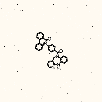 O=C(Nc1ccc(C(=O)N2Cc3cccnc3Nc3ccccc32)cc1)c1ccccc1-c1ccccc1